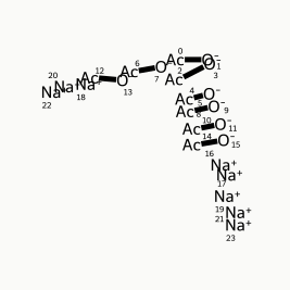 CC(=O)[O-].CC(=O)[O-].CC(=O)[O-].CC(=O)[O-].CC(=O)[O-].CC(=O)[O-].CC(=O)[O-].CC(=O)[O-].[Na+].[Na+].[Na+].[Na+].[Na+].[Na+].[Na+].[Na+]